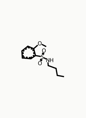 CCCCNS(=O)(=O)c1ccccc1OC